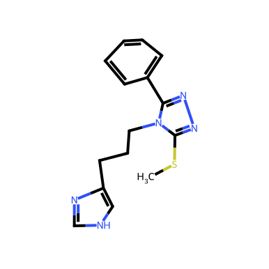 CSc1nnc(-c2ccccc2)n1CCCc1c[nH]cn1